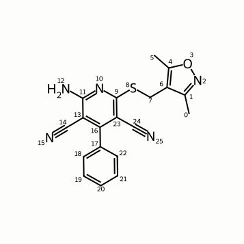 Cc1noc(C)c1CSc1nc(N)c(C#N)c(-c2ccccc2)c1C#N